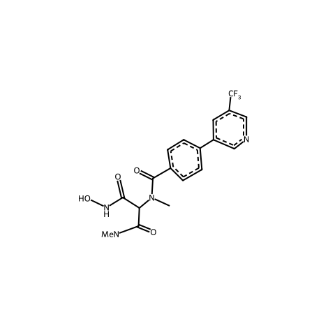 CNC(=O)C(C(=O)NO)N(C)C(=O)c1ccc(-c2cncc(C(F)(F)F)c2)cc1